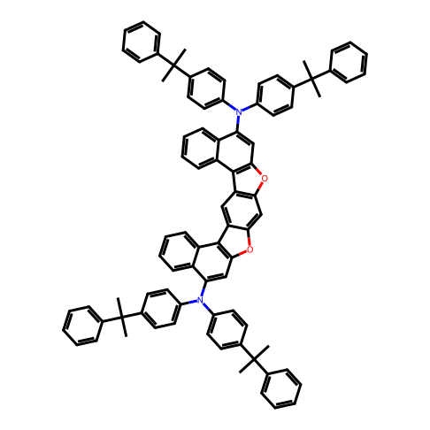 CC(C)(c1ccccc1)c1ccc(N(c2ccc(C(C)(C)c3ccccc3)cc2)c2cc3oc4cc5oc6cc(N(c7ccc(C(C)(C)c8ccccc8)cc7)c7ccc(C(C)(C)c8ccccc8)cc7)c7ccccc7c6c5cc4c3c3ccccc23)cc1